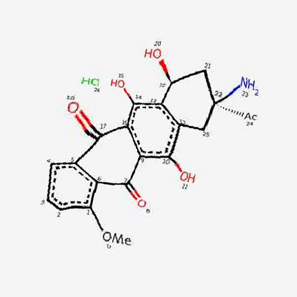 COc1cccc2c1C(=O)c1c(O)c3c(c(O)c1C2=O)[C@@H](O)C[C@](N)(C(C)=O)C3.Cl